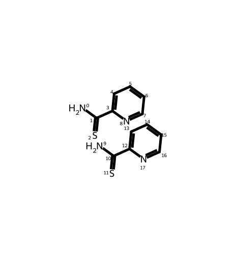 NC(=S)c1ccccn1.NC(=S)c1ccccn1